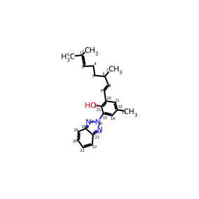 CC(C)=CCCC(C)C=Cc1cc(C)cc(-n2nc3ccccc3n2)c1O